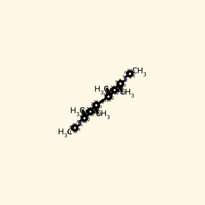 Cc1ccc(/C=C/c2ccc3c4cc5c(cc4n(C)c3c2)c2ccc(C#Cc3ccc4c6cc7c(cc6n(C)c4c3)c3ccc(/C=C/c4ccc(C)cc4)cc3n7C)cc2n5C)cc1